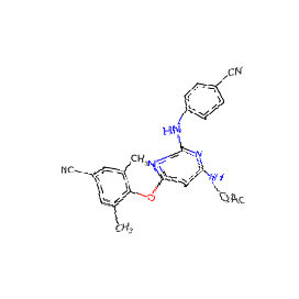 CC(=O)ONc1cc(Oc2c(C)cc(C#N)cc2C)nc(Nc2ccc(C#N)cc2)n1